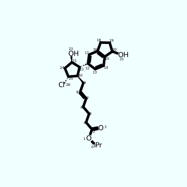 CC(C)OC(=O)CCCC=CC[C@@H]1[C@@H](c2ccc3c(c2)CCC3O)[C@H](O)C[C@H]1Cl